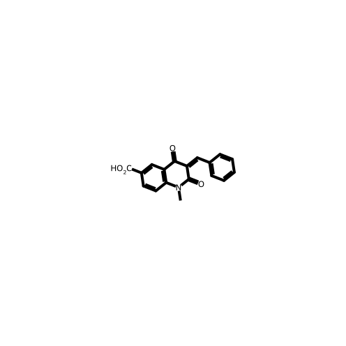 CN1C(=O)/C(=C\c2ccccc2)C(=O)c2cc(C(=O)O)ccc21